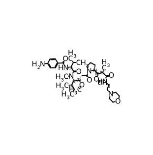 CC[C@H](C)[C@@H]([C@H](CC(=O)N1CCC[C@H]1[C@H](OC)[C@@H](C)C(=O)NCCN1CCOCC1)OC)N(C)C(=O)[C@@H](NC(=O)c1ccc(N)cc1)C(C)C